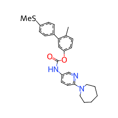 CSc1ccc(-c2cc(OC(=O)Nc3ccc(N4CCCCCC4)nc3)ccc2C)cc1